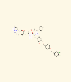 CC[C@@H](c1ccccc1)N1Cc2cc3c(cc2C[C@H]1C(=O)NC(Cc1ccc(-c2cc(C)nn2C)cc1)C(=O)O)OC[C@H](c1ccc(OCc2ccc(Cl)c(Cl)c2)cc1)O3